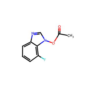 CC(=O)On1cnc2cccc(F)c21